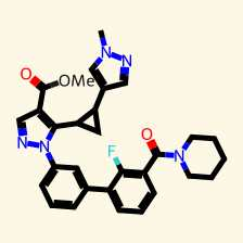 COC(=O)c1cnn(-c2cccc(-c3cccc(C(=O)N4CCCCC4)c3F)c2)c1C1CC1c1cnn(C)c1